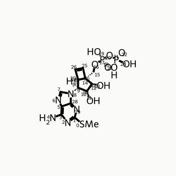 CSc1nc(N)c2ncn([C@H]3[C@H](O)[C@H](O)[C@]4(COP(=O)(O)OP(=O)(O)O)C=C[C@H]34)c2n1